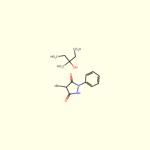 CCCCC1C(=O)NN(c2ccccc2)C1=O.O=C(O)CC(O)(CC(=O)O)C(=O)O